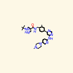 Cc1cc(-c2cc(Nc3ccc(N4CCN(C)CC4)cn3)ncn2)ccc1CNC(=O)/C(C=N)=C/NC(C)(C)C